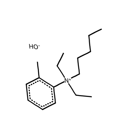 CCCCC[N+](CC)(CC)c1ccccc1C.[OH-]